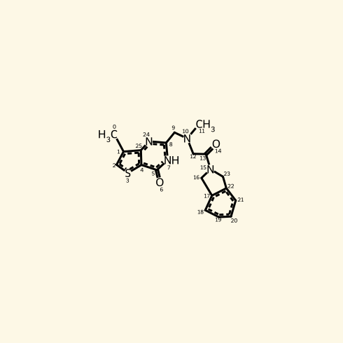 Cc1csc2c(=O)[nH]c(CN(C)CC(=O)N3Cc4ccccc4C3)nc12